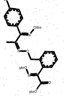 CON=C(C(C)=NOCc1ccccc1C(=NOC)C(=O)OC)c1ccc(Cl)cc1